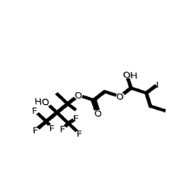 CCC(I)C(O)OCC(=O)OC(C)(C)C(O)(C(F)(F)F)C(F)(F)F